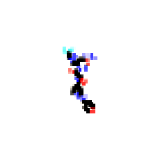 NC(=O)C1=NN(CC(F)F)CC1NC(=O)c1coc(-c2ccnc(NCC3CCOCC3)c2)n1